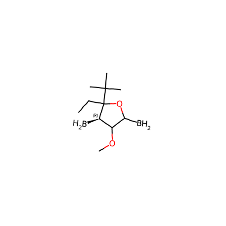 BC1OC(CC)(C(C)(C)C)[C@H](B)C1OC